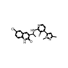 Cc1cc(-c2ccnc(NC(C)c3cc4cc(Cl)ccc4[nH]c3=O)c2F)n(C)n1